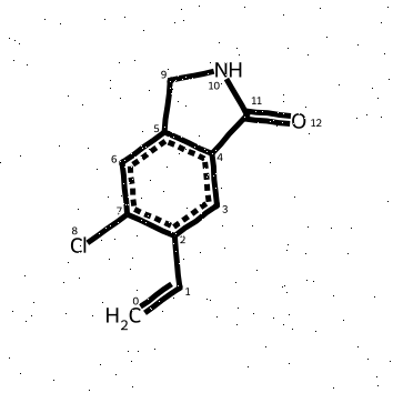 C=Cc1cc2c(cc1Cl)CNC2=O